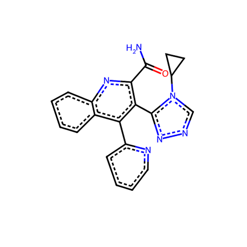 NC(=O)c1nc2ccccc2c(-c2ccccn2)c1-c1nncn1C1CC1